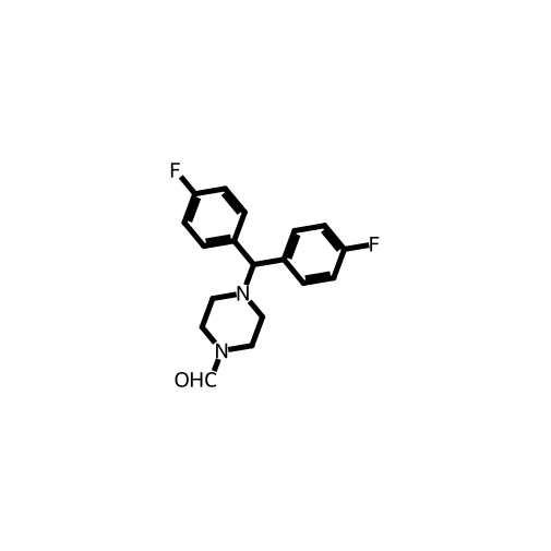 O=CN1CCN(C(c2ccc(F)cc2)c2ccc(F)cc2)CC1